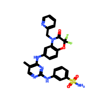 Cc1cnc(Nc2cccc(S(N)(=O)=O)c2)nc1Nc1ccc2c(c1)N(Cc1ccccn1)C(=O)C(F)(F)O2